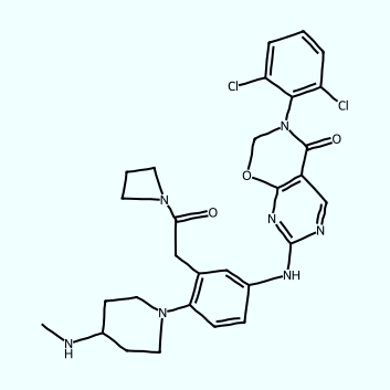 CNC1CCN(c2ccc(Nc3ncc4c(n3)OCN(c3c(Cl)cccc3Cl)C4=O)cc2CC(=O)N2CCC2)CC1